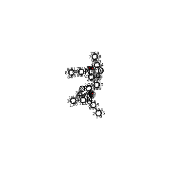 c1ccc(-c2ccc(N3c4ccc(-c5ccccc5)cc4C4(c5ccccc5Oc5ccccc54)c4cc(-c5cccc(-c6ccc7c(c6)C6(c8ccccc8Oc8ccccc86)c6cc(-c8ccccc8)ccc6N7c6ccc(-c7ccccc7)cc6)c5)ccc43)cc2)cc1